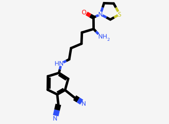 N#Cc1ccc(NCCCCC(N)C(=O)N2CCSC2)cc1C#N